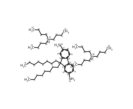 CCCCCCCCC1(CCCCCCCC)c2cc([SiH3])ccc2-c2ccc([SiH3])cc21.CCC[CH2][SnH]([CH2]CCC)[CH2]CCC.CCC[CH2][SnH]([CH2]CCC)[CH2]CCC